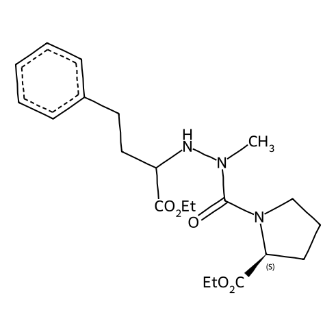 CCOC(=O)C(CCc1ccccc1)NN(C)C(=O)N1CCC[C@H]1C(=O)OCC